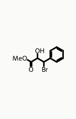 COC(=O)C(O)C(Br)c1ccccc1